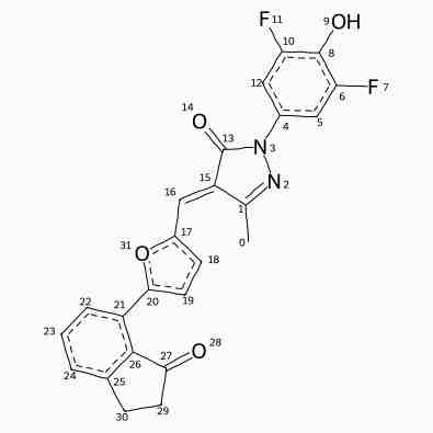 CC1=NN(c2cc(F)c(O)c(F)c2)C(=O)C1=Cc1ccc(-c2cccc3c2C(=O)CC3)o1